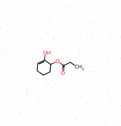 CCC(=O)OC1CCCC=C1O